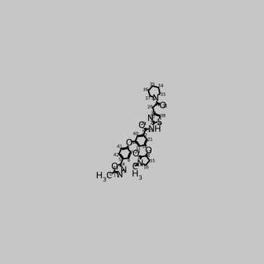 Cc1nnc(-c2ccc(Oc3cc(OC4CCN(C)C4=O)cc(C(=O)Nc4nc(CC(=O)N5CCCCC5)cs4)c3)cc2)o1